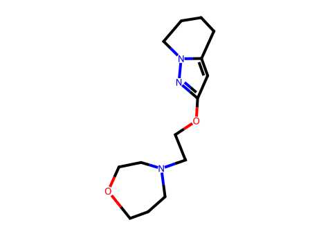 c1c(OCCN2CCCOCC2)nn2c1CCCC2